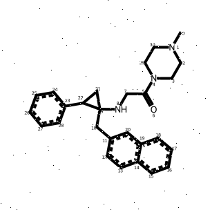 CN1CCN(C(=O)CNC2(Cc3ccc4ccccc4c3)CC2c2ccccc2)CC1